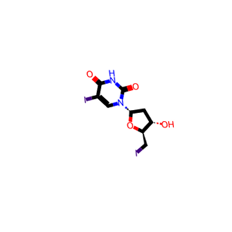 O=c1[nH]c(=O)n([C@@H]2C[C@H](O)[C@@H](CI)O2)cc1I